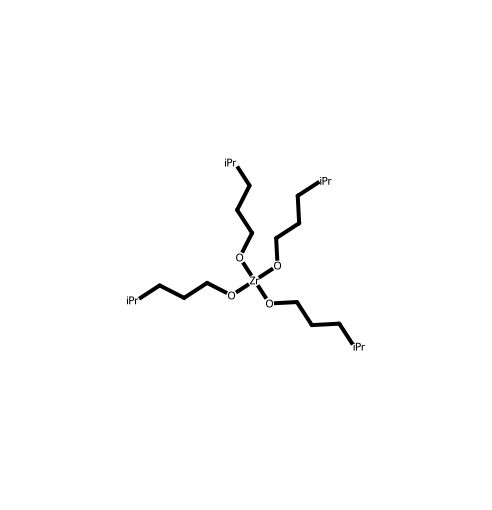 CC(C)CCC[O][Zr]([O]CCCC(C)C)([O]CCCC(C)C)[O]CCCC(C)C